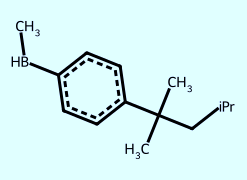 CBc1ccc(C(C)(C)CC(C)C)cc1